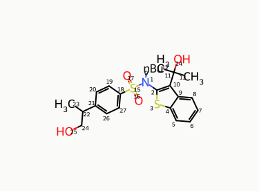 CCCCN(c1sc2ccccc2c1C(C)(C)O)S(=O)(=O)c1ccc(C(C)CO)cc1